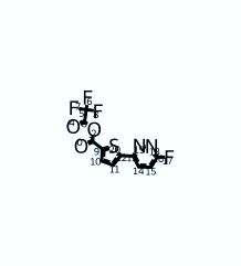 O=C(OC(=O)C(F)(F)F)c1ccc(-c2ccc(F)nn2)s1